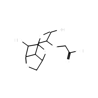 COC1OC2COC(C1O)C2CC(CO)OCC(=O)O